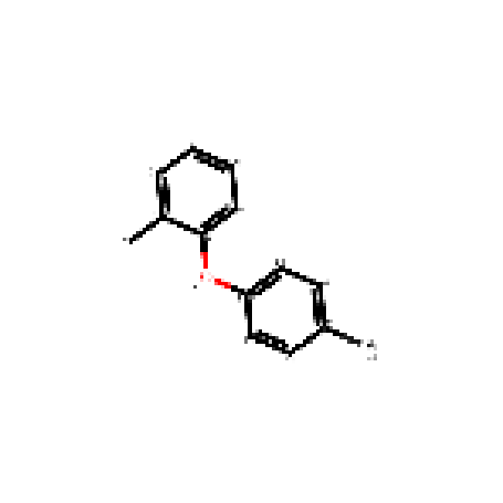 Cc1ccccc1Oc1ccc(C(C)C)cc1